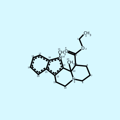 CCOC(=O)C1CCCN2CCc3c(n(C)c4ccccc34)C12C